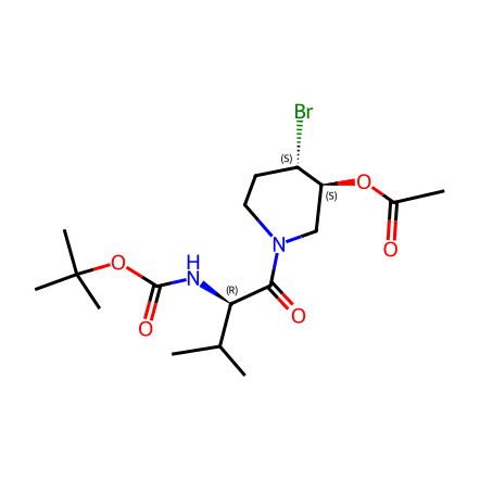 CC(=O)O[C@H]1CN(C(=O)[C@H](NC(=O)OC(C)(C)C)C(C)C)CC[C@@H]1Br